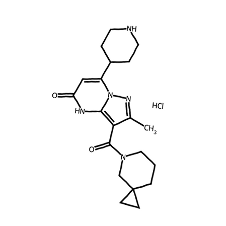 Cc1nn2c(C3CCNCC3)cc(=O)[nH]c2c1C(=O)N1CCCC2(CC2)C1.Cl